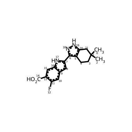 CC1(C)CCc2c(-c3cc4cc(F)c(C(=O)O)cc4[nH]3)n[nH]c2C1